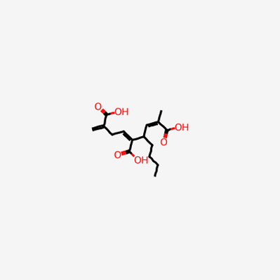 C=C(CC=C(C(=O)O)C(C=C(C)C(=O)O)CCCC)C(=O)O